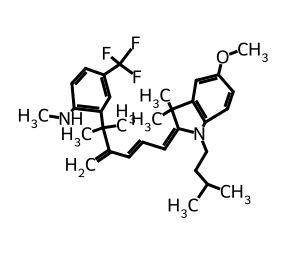 C=C(/C=C/C=C1/N(CCC(C)C)c2ccc(OC)cc2C1(C)C)C(C)(C)c1cc(C(F)(F)F)ccc1NC